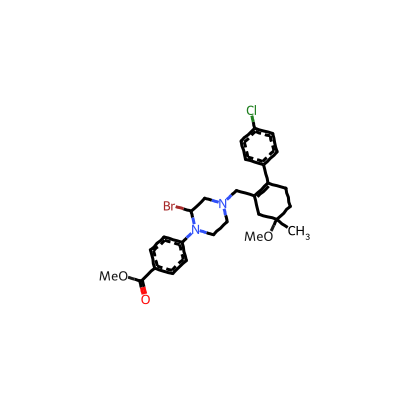 COC(=O)c1ccc(N2CCN(CC3=C(c4ccc(Cl)cc4)CCC(C)(OC)C3)CC2Br)cc1